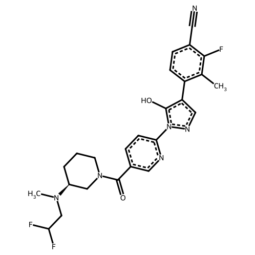 Cc1c(-c2cnn(-c3ccc(C(=O)N4CCC[C@H](N(C)CC(F)F)C4)cn3)c2O)ccc(C#N)c1F